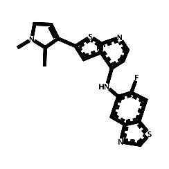 CC1C(c2cc3c(Nc4cc5ncsc5cc4F)ccnc3s2)=CCN1C